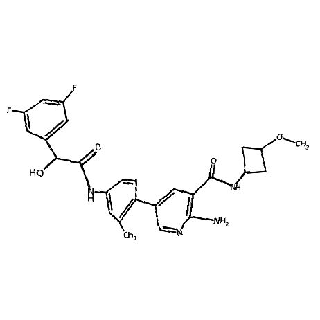 COC1CC(NC(=O)c2cc(-c3ccc(NC(=O)C(O)c4cc(F)cc(F)c4)cc3C)cnc2N)C1